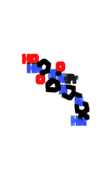 CC(C)n1c(=O)n(C2CCC(O)NC2=O)c2cccc(N3CCC(CN4CCC5(CC4)CNC5)CC3)c21